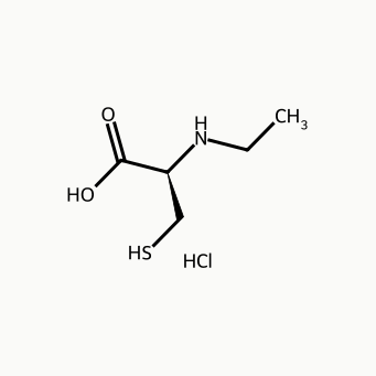 CCN[C@@H](CS)C(=O)O.Cl